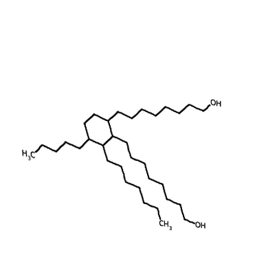 CCCCCCCC1C(CCCCC)CCC(CCCCCCCCO)C1CCCCCCCCO